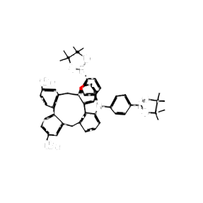 CC(C)(C)c1ccc2c(c1)Cc1ccccc1-c1c(cccc1N(c1ccc(B3OC(C)(C)C(C)(C)O3)cc1)c1ccc(B3OC(C)(C)C(C)(C)O3)cc1)Cc1cc(C(C)(C)C)ccc1-2